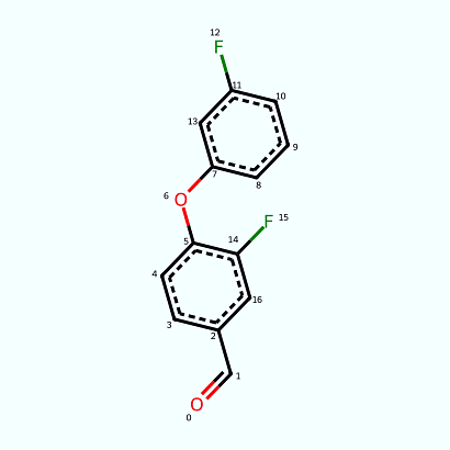 O=Cc1ccc(Oc2cccc(F)c2)c(F)c1